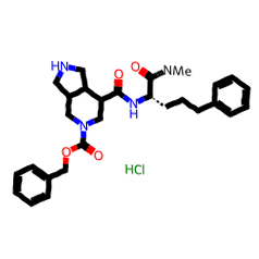 CNC(=O)[C@H](CCCc1ccccc1)NC(=O)C1CN(C(=O)OCc2ccccc2)CC2CNCC21.Cl